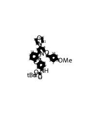 COc1ccc(COc2cc(N3CCOCC3)cc(-c3cccc4c3Sc3ccc(NC(=O)OC(C)(C)C)cc3C4)n2)cc1